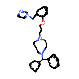 c1ccc(C(c2ccccc2)N2CCN(CCCOc3ccccc3Cn3ccnc3)CC2)cc1